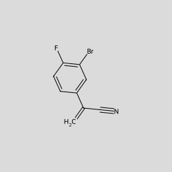 C=C(C#N)c1ccc(F)c(Br)c1